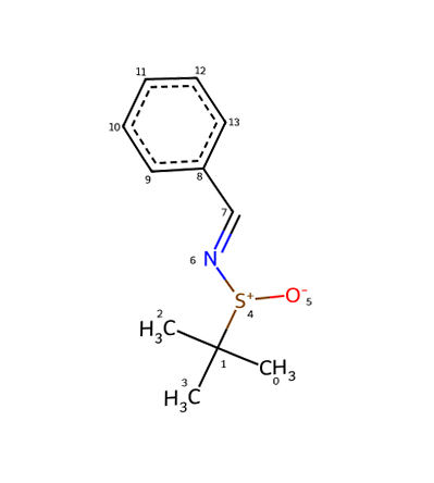 CC(C)(C)[S+]([O-])N=Cc1ccccc1